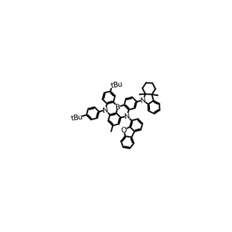 Cc1cc2c3c(c1)N(c1cccc4c1oc1ccccc14)c1cc(N4c5ccccc5C5(C)CCCCC45C)ccc1B3c1cc(C(C)(C)C)ccc1N2c1ccc(C(C)(C)C)cc1